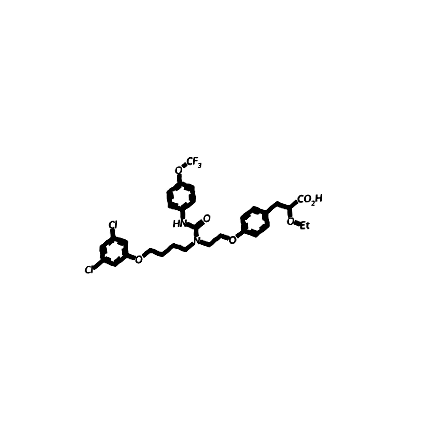 CCOC(Cc1ccc(OCCN(CCCCOc2cc(Cl)cc(Cl)c2)C(=O)Nc2ccc(OC(F)(F)F)cc2)cc1)C(=O)O